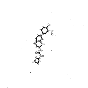 COc1cc(-c2ccc3ncc(NC(=O)Nc4cccs4)nc3n2)ccc1O